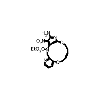 CCOC(=O)N1Cc2ncccc2OCC=CCCOc2cc1c([N+](=O)[O-])c(N)n2